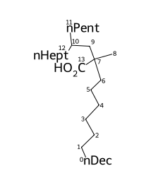 CCCCCCCCCCCCCCCCC(C)(CC(CCCCC)CCCCCCC)C(=O)O